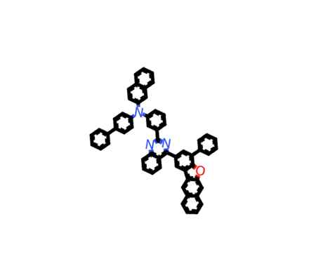 c1ccc(-c2ccc(N(c3cccc(-c4nc(-c5cc(-c6ccccc6)c6oc7cc8ccccc8cc7c6c5)c5ccccc5n4)c3)c3ccc4ccccc4c3)cc2)cc1